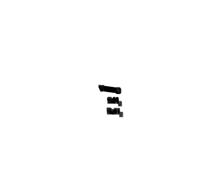 [BaH2].[O]=[V].[SrH2]